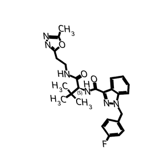 Cc1nnc(CCNC(=O)[C@@H](NC(=O)c2nn(Cc3ccc(F)cc3)c3ccccc23)C(C)(C)C)o1